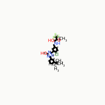 CO[C@H](C(O)NCc1ccc(Cl)c(-c2nc(O)nc(-c3cccc(C(C)(C)C)c3)n2)c1)C(F)(F)F